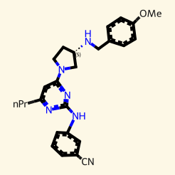 CCCc1cc(N2CC[C@H](NCc3ccc(OC)cc3)C2)nc(Nc2cccc(C#N)c2)n1